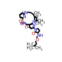 C[C@H]1CCNc2cccc(n2)S(=O)(=O)NC(=O)c2ccc(N3CCC(NCOCCC(C)(C)C)C3=O)nc2N2C[C@@H]1CC2(C)C